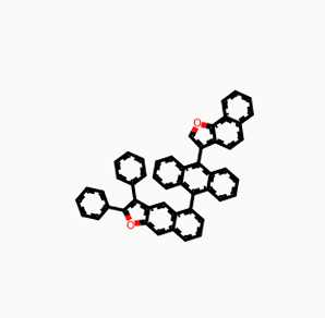 c1ccc(-c2oc3cc4cccc(-c5c6ccccc6c(-c6coc7c6ccc6ccccc67)c6ccccc56)c4cc3c2-c2ccccc2)cc1